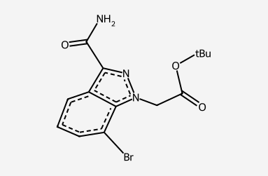 CC(C)(C)OC(=O)Cn1nc(C(N)=O)c2cccc(Br)c21